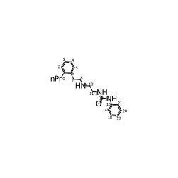 CCCc1ccccc1CCNCCNC(=O)Nc1ccccc1